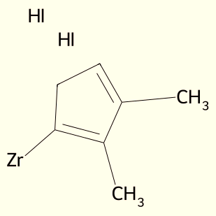 CC1=CC[C]([Zr])=C1C.I.I